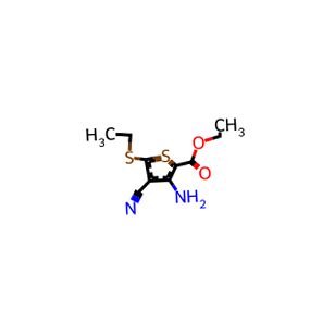 CCOC(=O)c1sc(SCC)c(C#N)c1N